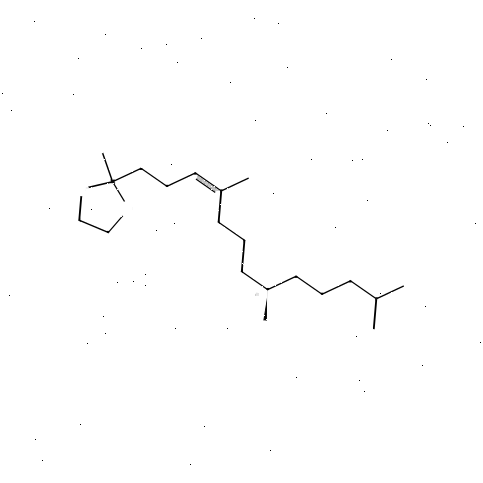 C/C(=C/CCC1(C)OCCO1)CCC[C@H](C)CCCC(C)C